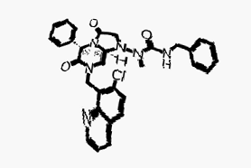 CN(C(=O)NCc1ccccc1)N1CC(=O)N2[C@@H](c3ccccc3)C(=O)N(Cc3c(Cl)ccc4cccnc34)C[C@@H]21